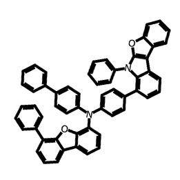 c1ccc(-c2ccc(N(c3ccc(-c4cccc5c6c7ccccc7oc6n(-c6ccccc6)c45)cc3)c3cccc4c3oc3c(-c5ccccc5)cccc34)cc2)cc1